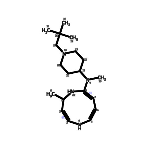 CC1/C=C\NC=C/C=C(/N(C)C2CCN(CC(C)(C)C)CC2)N1